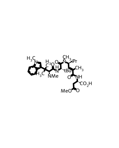 CN[C@H](C(=O)N[C@H](C(=O)N(C)[C@H](/C=C(\C)C(=O)N[C@@H](CC(=O)OC)C(=O)O)C(C)C)C(C)(C)C)C(C)(C)c1cn(C)c2ccccc12